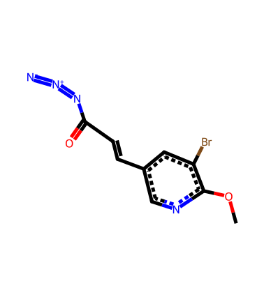 COc1ncc(C=CC(=O)N=[N+]=[N-])cc1Br